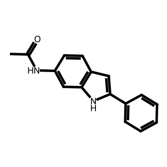 CC(=O)Nc1ccc2cc(-c3ccccc3)[nH]c2c1